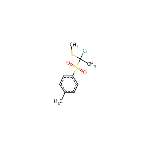 CSC(C)(Cl)S(=O)(=O)c1ccc(C)cc1